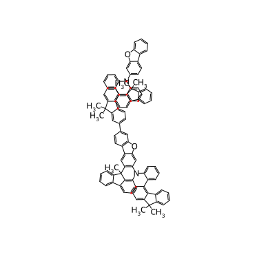 CC1(C)c2cc(-c3ccc4c(c3)oc3cc5c(cc34)C3(C)c4ccccc4-c4cccc(c43)N5c3ccccc3-c3cccc4c3-c3ccccc3C4(C)C)ccc2-c2c(-c3ccccc3N(c3ccc4c(c3)oc3ccccc34)c3ccccc3-c3cccc4c3C(C)(C)c3ccccc3-4)cccc21